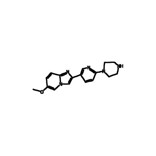 COc1ccc2nc(-c3ccc(N4CCNCC4)nc3)cn2c1